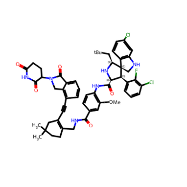 COc1cc(C(=O)NCC2=C(C#Cc3cccc4c3CN(C3CCC(=O)NC3=O)C4=O)CC(C)(C)CC2)ccc1NC(=O)[C@@H]1N[C@@H](CC(C)(C)C)[C@@]2(CNc3cc(Cl)ccc32)[C@H]1c1cccc(Cl)c1F